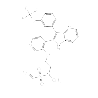 C=CS(=O)(=O)N(C)CCOc1cnccc1-c1[nH]c2cccnc2c1-c1cccc(OC(F)(F)F)c1